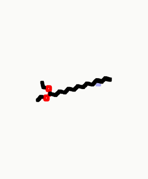 C=C/C=C/CCCCCCCCCC(OCC)OCC